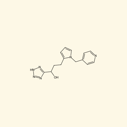 OC(CCc1cccn1Cc1ccncc1)c1nn[nH]n1